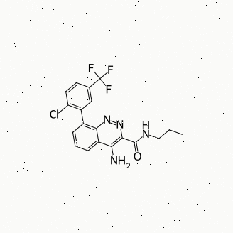 CCCNC(=O)c1nnc2c(-c3cc(C(F)(F)F)ccc3Cl)cccc2c1N